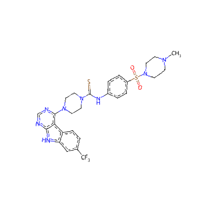 CN1CCN(S(=O)(=O)c2ccc(NC(=S)N3CCN(c4ncnc5[nH]c6cc(C(F)(F)F)ccc6c45)CC3)cc2)CC1